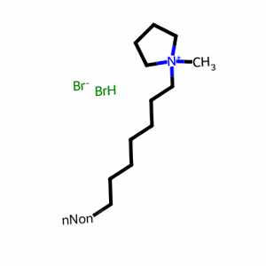 Br.[Br-].[CH2]CCCCCCCCCCCCCCC[N+]1(C)CCCC1